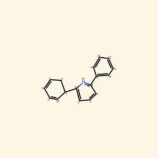 C1=CCC(c2cccc(-c3ccccc3)n2)C=C1